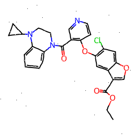 CCOC(=O)c1coc2cc(Cl)c(Oc3ccncc3C(=O)N3CCN(C4CC4)c4ccccc43)cc12